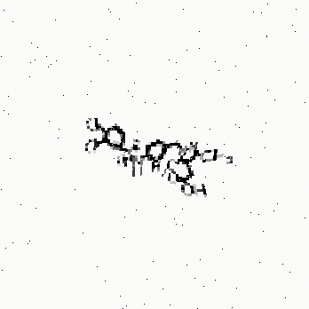 Cc1nn(Cc2ccc(NS(=O)(=O)c3ccc(Cl)c(Cl)c3)cc2)c(C)c1CC(=O)O